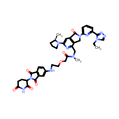 CCn1cnnc1-c1cccc(N2Cc3c(cc(N4CCC[C@H]4C)nc3CN(C)C(=O)COCCNc3ccc4c(c3)C(=O)N(C3CCC(=O)NC3=O)C4=O)C2=O)n1